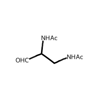 CC(=O)NCC(C=O)NC(C)=O